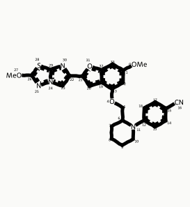 COc1cc(OCC2CCCCN2c2ccc(C#N)cc2)c2cc(-c3cn4nc(OC)sc4n3)oc2c1